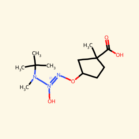 CN(/[N+](O)=N/OC1CCC(C)(C(=O)O)C1)C(C)(C)C